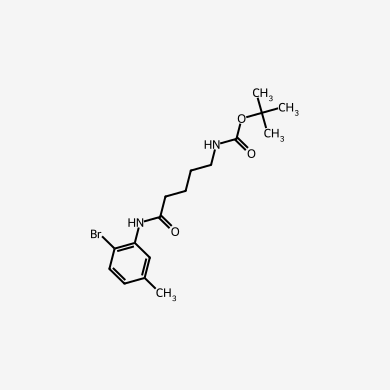 Cc1ccc(Br)c(NC(=O)CCCCNC(=O)OC(C)(C)C)c1